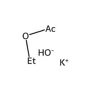 CCOC(C)=O.[K+].[OH-]